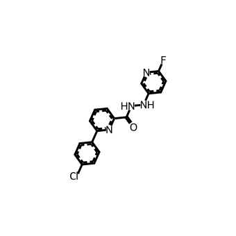 O=C(NNc1ccc(F)nc1)c1cccc(-c2ccc(Cl)cc2)n1